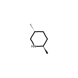 C[C@@H]1CC[C@@H](C)NC1